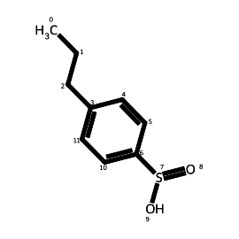 CCCc1ccc(S(=O)O)cc1